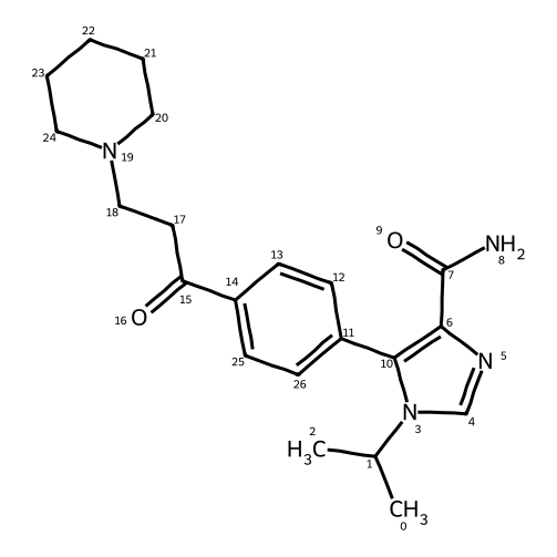 CC(C)n1cnc(C(N)=O)c1-c1ccc(C(=O)CCN2CCCCC2)cc1